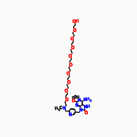 CCCCOc1nc(N)c2[nH]c(=O)n(Cc3ccc(CN(C)CCOCCOCCOCCOCCOCCOCCOCCOCCOCCO)nc3)c2n1